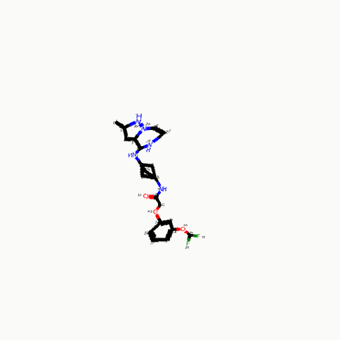 CC1CC2C(NC34CC(NC(=O)COc5cccc(OC(F)F)c5)(C3)C4)NCCN2N1